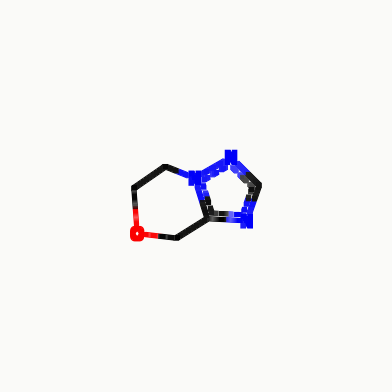 c1nc2n(n1)CCOC2